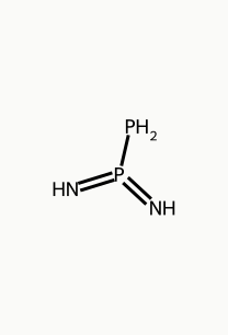 N=P(=N)P